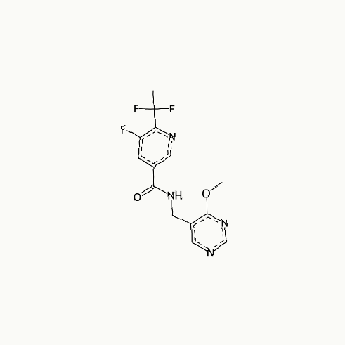 COc1ncncc1CNC(=O)c1cnc(C(C)(F)F)c(F)c1